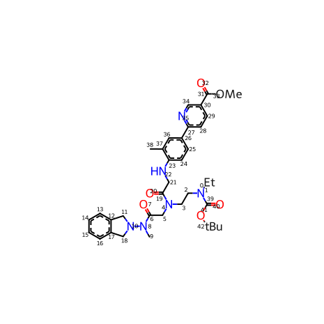 CCN(CCN(CC(=O)N(C)N1Cc2ccccc2C1)C(=O)CNc1ccc(-c2ccc(C(=O)OC)cn2)cc1C)C(=O)OC(C)(C)C